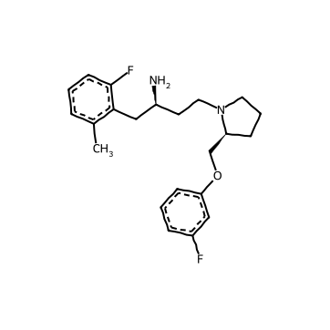 Cc1cccc(F)c1C[C@@H](N)CCN1CCC[C@H]1COc1cccc(F)c1